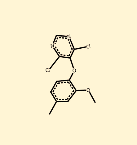 COc1cc(C)ccc1Oc1c(Cl)ncnc1Cl